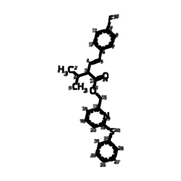 CC(C)C(C=Cc1ccc(F)cc1)C(=O)OCc1cccc(Sc2ccccc2)n1